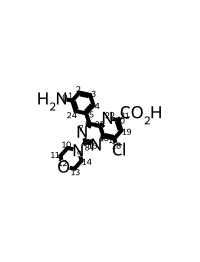 Nc1cccc(-c2nc(N3CCOCC3)nc3c(Cl)cc(C(=O)O)nc23)c1